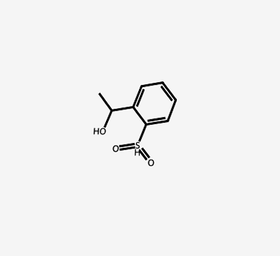 CC(O)c1ccccc1[SH](=O)=O